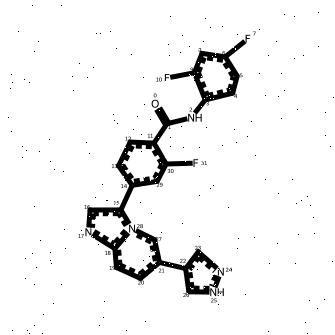 O=C(Nc1ccc(F)cc1F)c1ccc(-c2cnc3ccc(-c4cn[nH]c4)cn23)cc1F